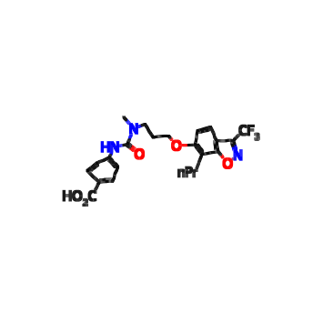 CCCc1c(OCCCN(C)C(=O)Nc2ccc(C(=O)O)cc2)ccc2c(C(F)(F)F)noc12